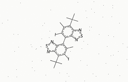 Cc1c(I)c(C(C)(C)C)c2nsnc2c1-c1c(I)c(C)c(C(C)(C)C)c2nsnc12